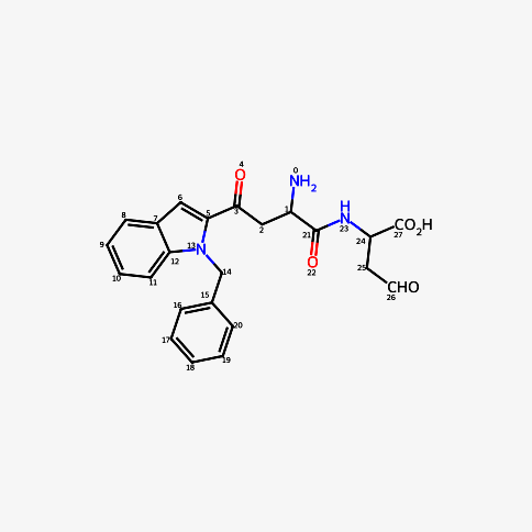 NC(CC(=O)c1cc2ccccc2n1Cc1ccccc1)C(=O)NC(CC=O)C(=O)O